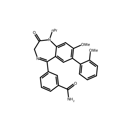 CCCN1C(=O)CN=C(c2cccc(C(N)=O)c2)c2cc(-c3ccccc3OC)c(OC)cc21